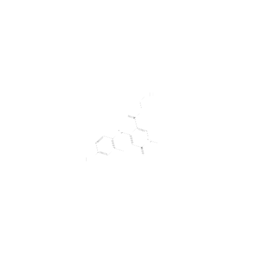 CCOC(=O)c1cn(C)c(=O)cc1Nc1ccc(Br)cc1F